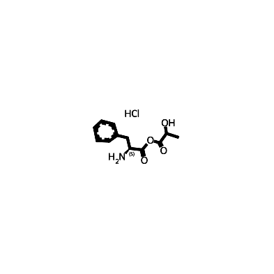 CC(O)C(=O)OC(=O)[C@@H](N)Cc1ccccc1.Cl